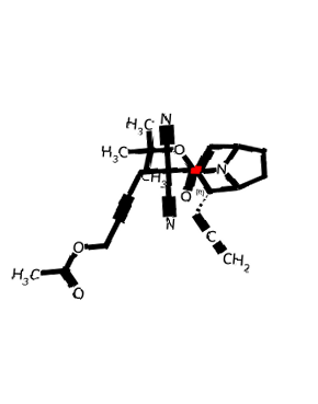 C=C=C[C@@H]1C(C(C#N)(C#N)CC#CCOC(C)=O)=CC2CCC1N2C(=O)OC(C)(C)C